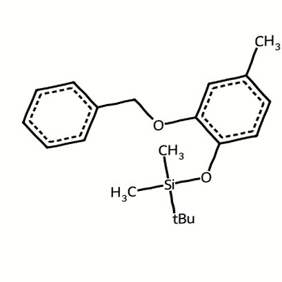 Cc1ccc(O[Si](C)(C)C(C)(C)C)c(OCc2ccccc2)c1